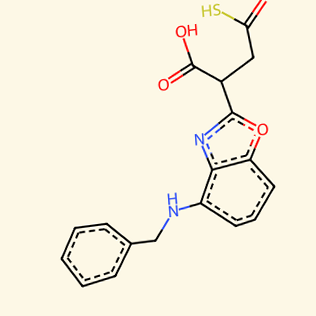 O=C(S)CC(C(=O)O)c1nc2c(NCc3ccccc3)cccc2o1